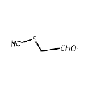 N#CSC[C]=O